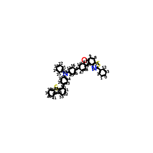 c1ccc(-c2nc3c(ccc4oc5cc(-c6ccc(N(c7ccccc7)c7ccc(-c8cccc9c8sc8ccccc89)cc7)cc6)ccc5c43)s2)cc1